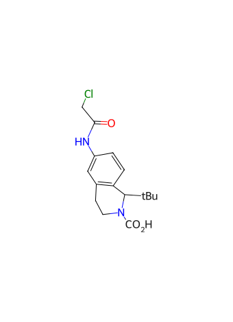 CC(C)(C)C1c2ccc(NC(=O)CCl)cc2CCN1C(=O)O